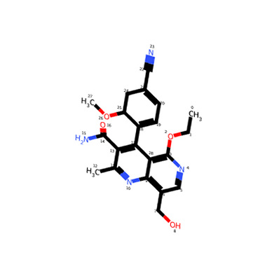 CCOc1ncc(CO)c2nc(C)c(C(N)=O)c(C3=CC=C(C#N)CC3OC)c12